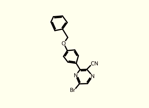 N#Cc1ncc(Br)nc1-c1ccc(OCc2ccccc2)cc1